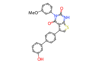 COc1cccc(-n2c(=O)[nH]c3scc(-c4ccc(-c5cccc(O)c5)cc4)c3c2=O)c1